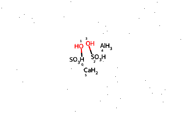 O=S(=O)(O)O.O=S(=O)(O)O.[AlH3].[CaH2]